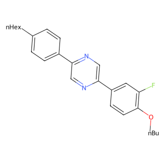 CCCCCCc1ccc(-c2cnc(-c3ccc(OCCCC)c(F)c3)cn2)cc1